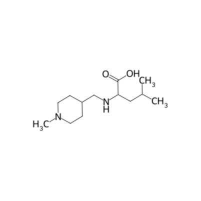 CC(C)CC(NCC1CCN(C)CC1)C(=O)O